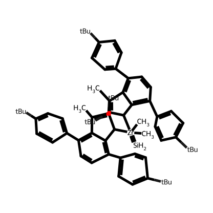 CC1=C(C(C)(C)C)[CH]([Zr]([CH3])([CH3])(=[SiH2])[CH]2C(C(C)(C)C)=C(C)c3c(-c4ccc(C(C)(C)C)cc4)ccc(-c4ccc(C(C)(C)C)cc4)c32)c2c(-c3ccc(C(C)(C)C)cc3)ccc(-c3ccc(C(C)(C)C)cc3)c21